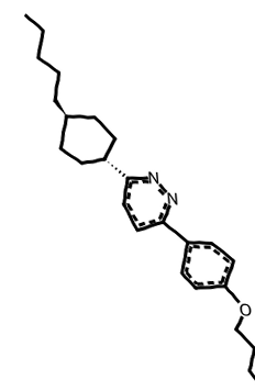 CCCCC[C@H]1CC[C@H](c2ccc(-c3ccc(OCCCC)cc3)nn2)CC1